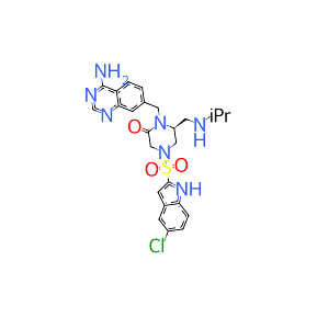 CC(C)NC[C@H]1CN(S(=O)(=O)c2cc3cc(Cl)ccc3[nH]2)CC(=O)N1Cc1ccc2c(N)ncnc2c1